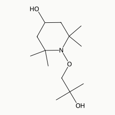 CC(C)(O)CON1C(C)(C)CC(O)CC1(C)C